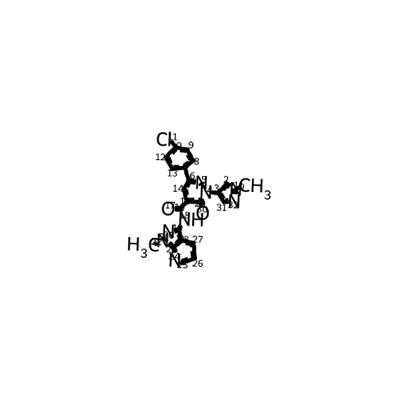 Cn1cc(-n2nc(-c3ccc(Cl)cc3)cc(C(=O)Nc3nn(C)c4ncccc34)c2=O)cn1